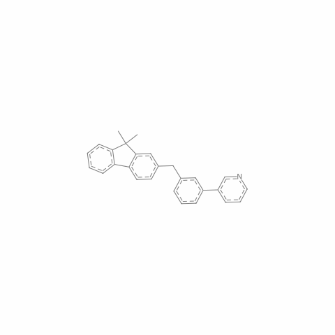 CC1(C)c2ccccc2-c2ccc(Cc3cccc(-c4cccnc4)c3)cc21